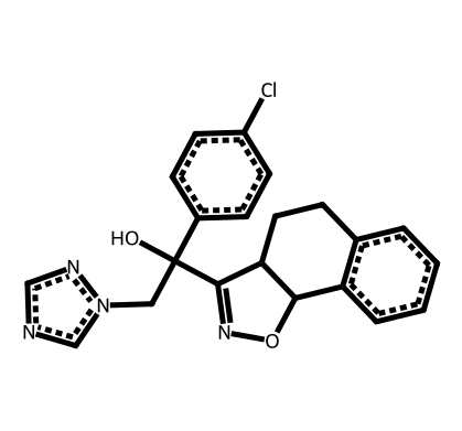 OC(Cn1cncn1)(C1=NOC2c3ccccc3CCC12)c1ccc(Cl)cc1